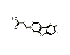 O=C(O)CCN1C=Cc2c([nH]c3ccccc23)C1